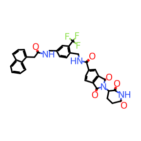 O=C(Cc1cccc2ccccc12)NCc1ccc(CNC(=O)c2ccc3c(c2)C(=O)N(C2CCC(=O)NC2=O)C3=O)c(C(F)(F)F)c1